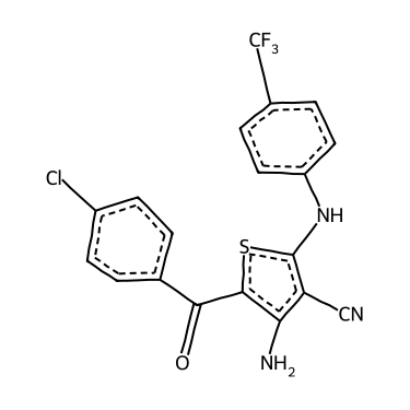 N#Cc1c(Nc2ccc(C(F)(F)F)cc2)sc(C(=O)c2ccc(Cl)cc2)c1N